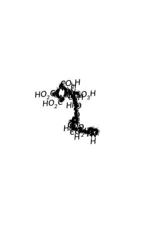 Cc1cc(OCCCC(=O)NCCNC(=O)C(CS(=O)(=O)O)NC(=O)CN2CCN(CC(=O)O)CCN(CC(=O)O)CCN(CC(=O)O)CC2)cc(C)c1S(=O)(=O)N[C@H](CNC(=O)CCCc1ccc2c(n1)NCCC2)C(=O)O